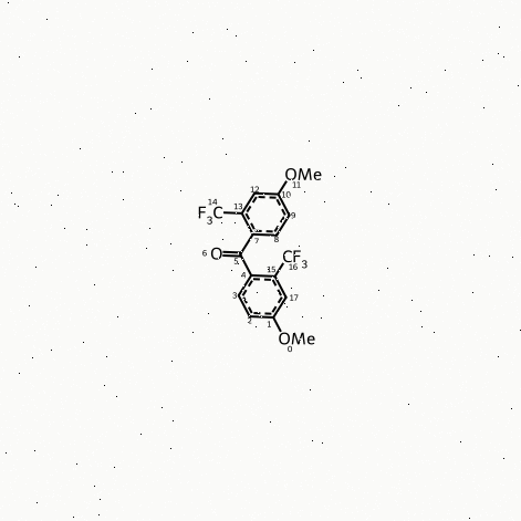 COc1ccc(C(=O)c2ccc(OC)cc2C(F)(F)F)c(C(F)(F)F)c1